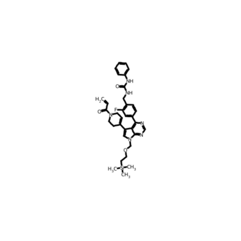 C=CC(=O)N1CC=C(c2cn(COCC[Si](C)(C)C)c3ncnc(-c4ccc(CNC(=O)Nc5ccccc5)c(F)c4)c23)CC1